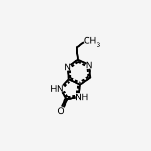 CCc1ncc2[nH]c(=O)[nH]c2n1